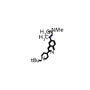 CNN(C)/C=C(\C)c1ccc2cnc(C3CCN(CC(C)(C)C)CC3)cc2c1